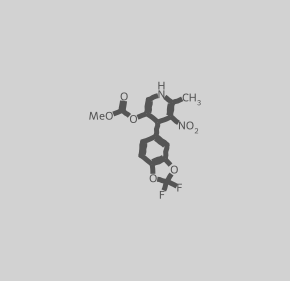 COC(=O)OC1=CNC(C)=C([N+](=O)[O-])C1c1ccc2c(c1)OC(F)(F)O2